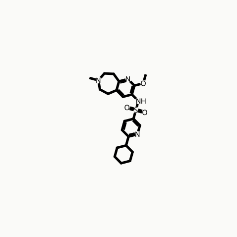 COc1nc2c(cc1NS(=O)(=O)c1ccc(C3CCCCC3)nc1)CCN(C)CC2